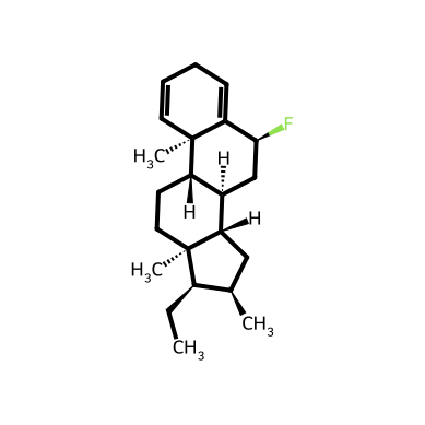 CC[C@@H]1[C@H](C)C[C@H]2[C@@H]3C[C@H](F)C4=CCC=C[C@]4(C)[C@H]3CC[C@]12C